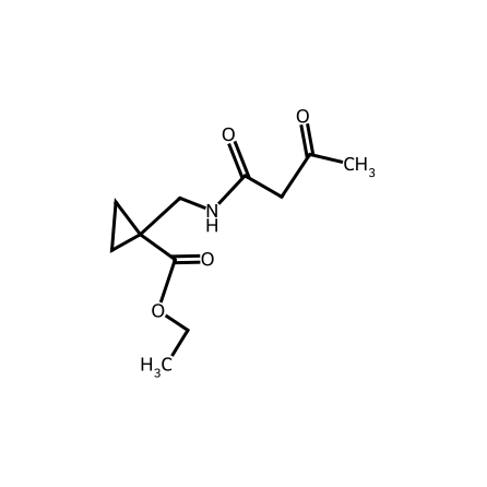 CCOC(=O)C1(CNC(=O)CC(C)=O)CC1